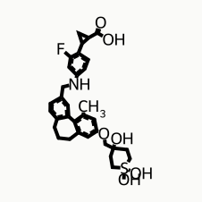 Cc1cc(OCC2(O)CCS(O)(O)CC2)cc2c1-c1cc(CNc3ccc(C4CC4C(=O)O)c(F)c3)ccc1CCC2